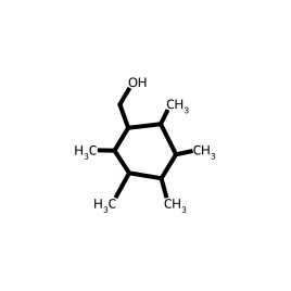 CC1C(C)C(C)C(CO)C(C)C1C